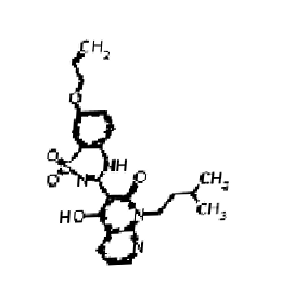 C=CCOc1ccc2c(c1)S(=O)(=O)N=C(c1c(O)c3cccnc3n(CCC(C)C)c1=O)N2